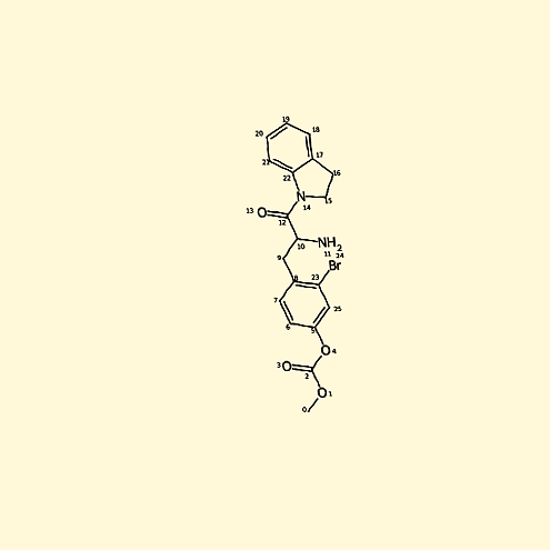 COC(=O)Oc1ccc(CC(N)C(=O)N2CCc3ccccc32)c(Br)c1